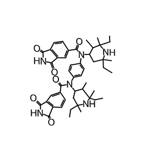 CCC1(C)CC(N(C(=O)c2ccc3c(c2)C(=O)NC3=O)c2ccc(N(C(=O)c3ccc4c(c3)C(=O)NC4=O)C3CC(C)(CC)NC(C)(CC)C3C)cc2)C(C)C(C)(CC)N1